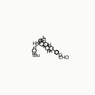 C=C(C)[C@@H]1CC[C@]2(NCCN3CCN(C(C)(C)C)CC3)CC[C@]3(C)[C@H](CC[C@@H]4[C@@]5(C)CC=C(c6ccc(OC=O)cc6)C(C)(C)[C@@H]5CC[C@]43C)[C@@H]12